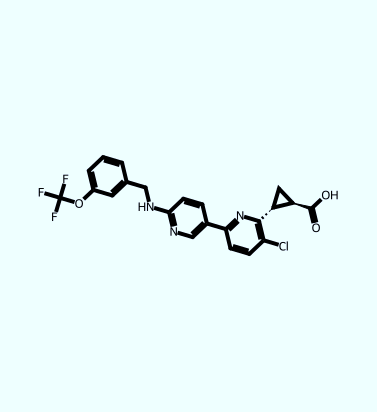 O=C(O)[C@@H]1C[C@H]1c1nc(-c2ccc(NCc3cccc(OC(F)(F)F)c3)nc2)ccc1Cl